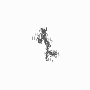 CCCCCCN(CCCC(=O)N1CCC(N(C)C[C@@H](CNC(=O)c2nc(Cl)c(N)nc2N)Cc2ccccc2C)CC1)C[C@H](O)[C@@H](O)[C@H](O)[C@H](O)CO